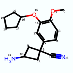 COc1ccc(C2(C#N)CC(N)C2)cc1OC1CCCC1